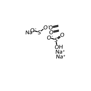 C=O.C=O.O=S([O-])O.[Na+].[Na+].[Na+].[O-]S[O-]